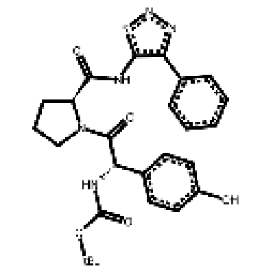 CC(C)(C)OC(=O)N[C@H](C(=O)N1CCC[C@H]1C(=O)Nc1snnc1-c1ccccc1)c1ccc(O)cc1